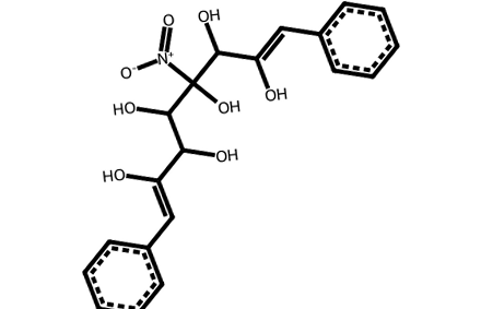 O=[N+]([O-])C(O)(C(O)C(O)=Cc1ccccc1)C(O)C(O)C(O)=Cc1ccccc1